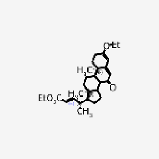 CCOC(=O)/C=C/[C@@H](C)C1CCC2C3C(=O)C=C4C=C(OCC)CC[C@]4(C)C3CC[C@@]21C